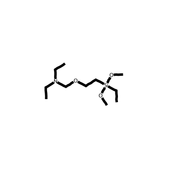 CCN(CC)COCC[Si](CC)(OC)OC